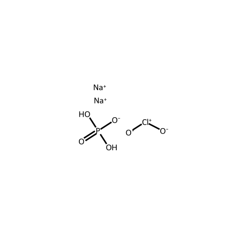 O=P([O-])(O)O.[Na+].[Na+].[O-][Cl+][O-]